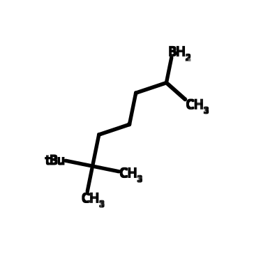 BC(C)CCCC(C)(C)C(C)(C)C